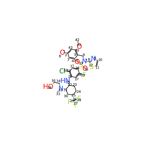 COc1ccc(CN(c2nccs2)S(=O)(=O)c2cc(Cl)c(N[C@H]3CC[C@H](C(F)(F)F)C[C@@H]3N(C)CCO)cc2F)c(OC)c1